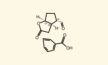 O=C(O)c1ccccc1.O=C[C@H]1CC[C@@H]2OC(=O)C[C@@H]21